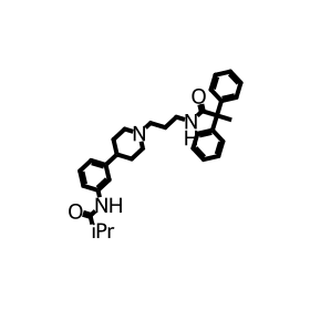 CC(C)C(=O)Nc1cccc(C2CCN(CCCNC(=O)C(C)(c3ccccc3)c3ccccc3)CC2)c1